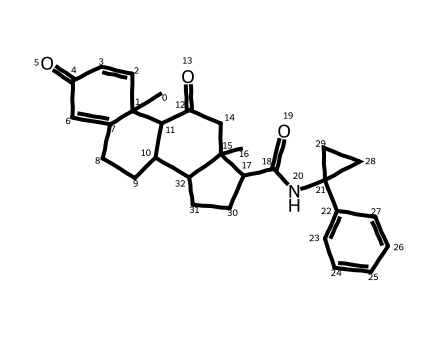 CC12C=CC(=O)C=C1CCC1C2C(=O)CC2(C)C(C(=O)NC3(c4ccccc4)CC3)CCC12